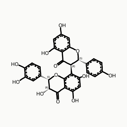 O=C1c2c(O)cc(O)cc2O[C@H](c2ccc(O)cc2)[C@H]1c1c(O)cc(O)c2c1O[C@@H](c1ccc(O)c(O)c1)[C@@H](O)C2=O